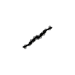 C=CC(=O)OCCCCOc1ccc(C(=O)Oc2ccc(C(=O)O[C@H]3COC4C3OC[C@H]4OC(=O)c3ccc(OC(=O)c4ccc(OCCCCOC(=O)C=C)cc4)cc3)cc2)cc1